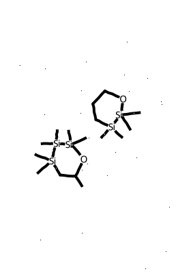 CC1C[Si](C)(C)[Si](C)(C)[Si](C)(C)O1.C[Si]1(C)CCCO[Si]1(C)C